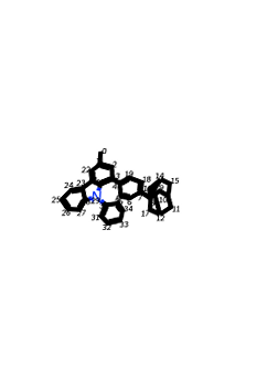 Cc1cc(-c2ccc(C34CC5CC(CC(C5)C3)C4)cc2)c2c(c1)c1ccccc1n2-c1ccccc1